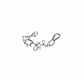 O=C(CNC(=O)c1cc(NC2COC2)ncn1)CN1CCc2ccccc2C1